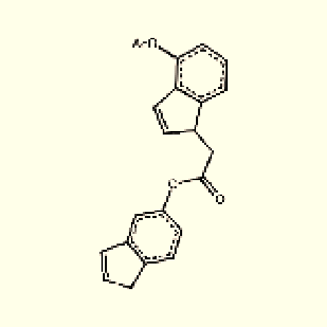 CC(=O)Oc1cccc2c1C=CC2CC(=O)Oc1ccc2c(c1)C=CC2